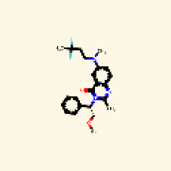 CCOC[C@H](c1ccccc1)n1c(C)nc2ccc(N(C)CCC(C)(F)F)cc2c1=O